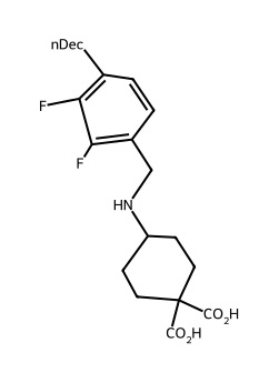 CCCCCCCCCCc1ccc(CNC2CCC(C(=O)O)(C(=O)O)CC2)c(F)c1F